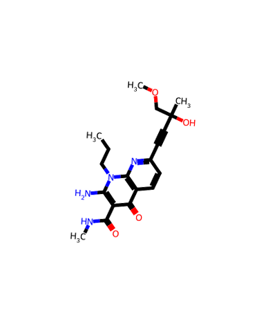 CCCn1c(N)c(C(=O)NC)c(=O)c2ccc(C#CC(C)(O)COC)nc21